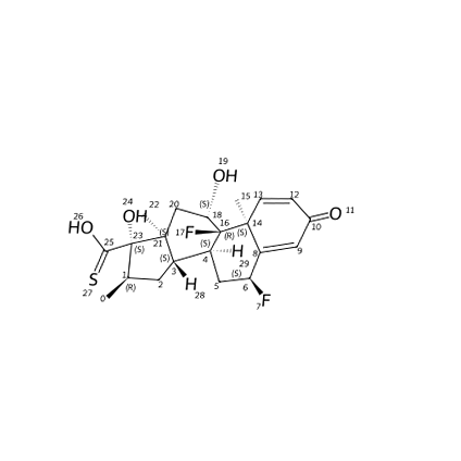 C[C@@H]1C[C@H]2[C@@H]3C[C@H](F)C4=CC(=O)C=C[C@]4(C)[C@@]3(F)[C@@H](O)C[C@]2(C)[C@]1(O)C(O)=S